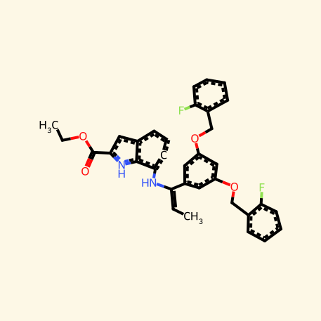 CC=C(Nc1cccc2cc(C(=O)OCC)[nH]c12)c1cc(OCc2ccccc2F)cc(OCc2ccccc2F)c1